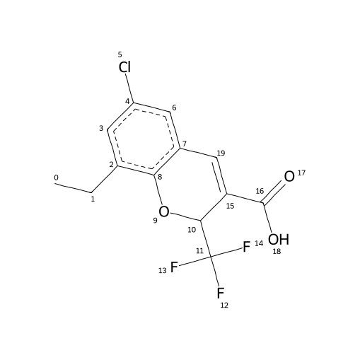 CCc1cc(Cl)cc2c1OC(C(F)(F)F)C(C(=O)O)=C2